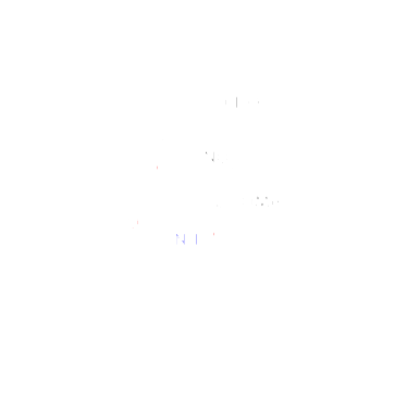 COC(=O)CC(Oc1cccc(C=O)c1[N+](=O)[O-])C(=O)NC1CCCCC1